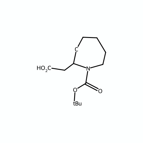 CC(C)(C)OC(=O)N1CCCCCC1CC(=O)O